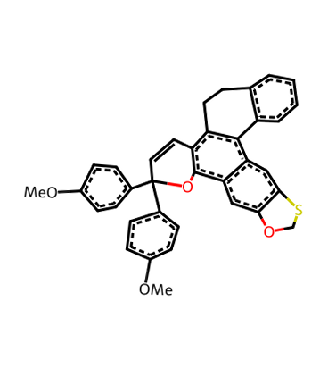 COc1ccc(C2(c3ccc(OC)cc3)C=Cc3c4c(c5cc6c(cc5c3O2)OCS6)-c2ccccc2CC4)cc1